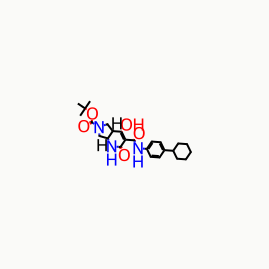 CC(C)(C)OC(=O)N1C[C@H]2NC(=O)C(C(=O)Nc3ccc(C4CCCCC4)cc3)=C(O)[C@@H]2C1